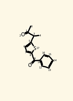 CC(=O)C(C)c1ccc(C(=O)c2ccccc2)s1